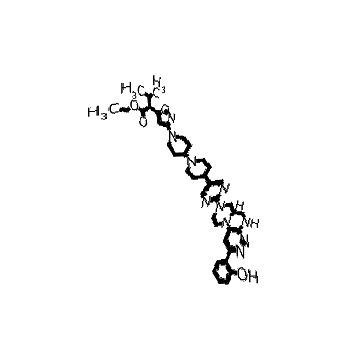 CCOC(=O)C(c1cc(N2CCC(N3CCC(c4cnc(N5CCN6c7cc(-c8ccccc8O)nnc7NC[C@H]6C5)nc4)CC3)CC2)no1)C(C)C